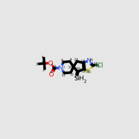 CC(C)(C)OC(=O)N1CCC2(CC1)Cc1nc(Cl)sc1C2=[SiH2]